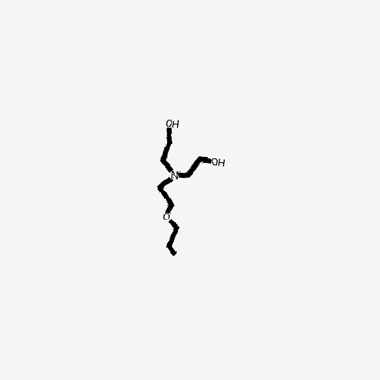 CCCOCCN(CCO)CCO